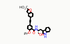 CC(C)Oc1ccc(C#Cc2ccc3oc(C(=O)O)cc3c2)cc1C(=O)N[C@@H](CO)Cc1c[nH]c2ccccc12